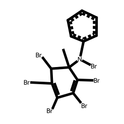 CC1(N(Br)c2ccccc2)C(Br)=C(Br)C(Br)=C(Br)C1Br